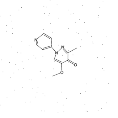 COc1cn(-c2ccncc2)nc(C)c1=O